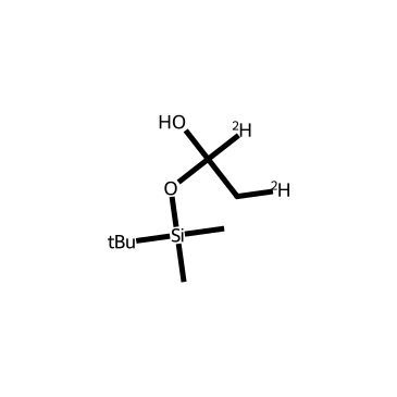 [2H]CC([2H])(O)O[Si](C)(C)C(C)(C)C